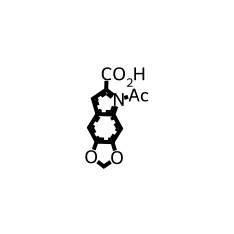 CC(=O)n1c(C(=O)O)cc2cc3c(cc21)OCO3